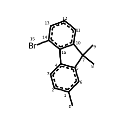 Cc1ccc2c(c1)C(C)(C)c1cccc(Br)c1-2